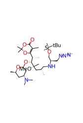 CO[C@](C)(C[C@@H](C)CN[C@H](CN=[N+]=[N-])CO[Si](C)(C)C(C)(C)C)[C@H](O[C@H]1[CH][C@H](N(C)C)C[C@@H](C)O1)[C@@H](C)C1=C(C)C(=O)OC(C)(C)O1